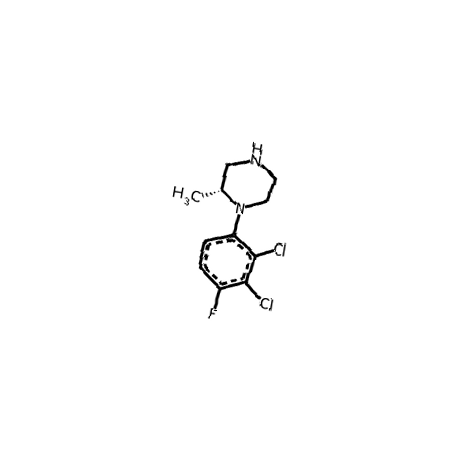 C[C@@H]1CNCCN1c1ccc(F)c(Cl)c1Cl